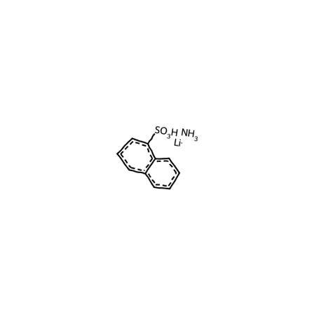 N.O=S(=O)(O)c1cccc2ccccc12.[Li]